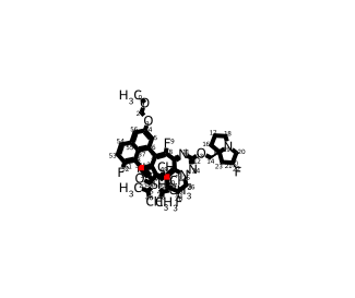 COCOc1cc(C2=C(F)C3=NC(OC[C@@]45CCCN4C[C@H](F)C5)=NN4C[C@H](F)CC(=C34)[C@@H]3CON=C23)c2c(C#C[Si](C(C)C)(C(C)C)C(C)C)c(F)ccc2c1